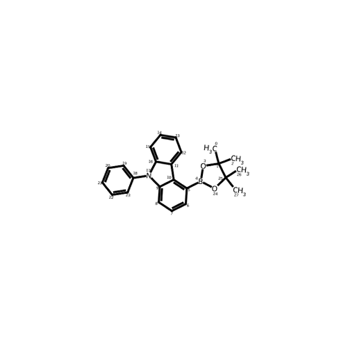 CC1(C)OB(c2cccc3c2c2ccccc2n3-c2ccccc2)OC1(C)C